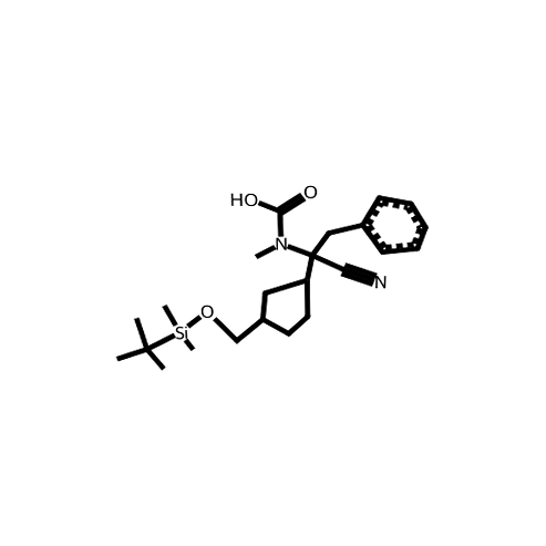 CN(C(=O)O)C(C#N)(Cc1ccccc1)C1CCC(CO[Si](C)(C)C(C)(C)C)C1